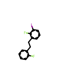 Fc1ccccc1CCc1cccc(I)c1F